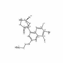 CCCCCCCCCCCCSc1nc(N2C[C@@H]3C[C@H]2CN3)c2cc(I)c(Br)c(F)c2n1